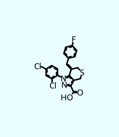 O=C(O)c1nn(-c2ccc(Cl)cc2Cl)c2c1CSCC2=Cc1ccc(F)cc1